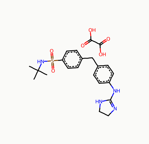 CC(C)(C)NS(=O)(=O)c1ccc(Cc2ccc(NC3=NCCN3)cc2)cc1.O=C(O)C(=O)O